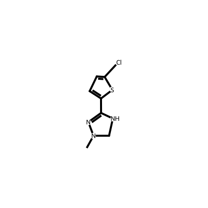 CN1CNC(c2ccc(Cl)s2)=N1